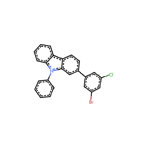 Clc1cc(Br)cc(-c2ccc3c4ccccc4n(-c4ccccc4)c3c2)c1